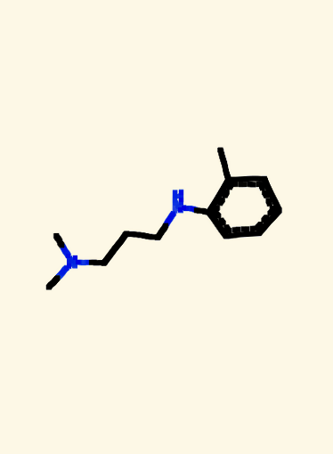 Cc1ccccc1NCCCN(C)C